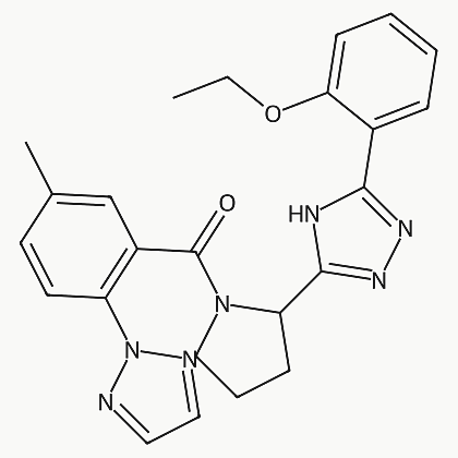 CCOc1ccccc1-c1nnc(C2CCCN2C(=O)c2cc(C)ccc2-n2nccn2)[nH]1